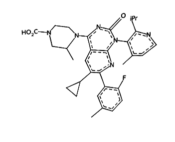 Cc1ccc(F)c(-c2nc3c(cc2C2CC2)c(N2CCN(C(=O)O)CC2C)nc(=O)n3-c2c(C)ccnc2C(C)C)c1